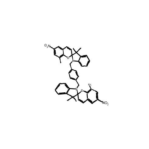 CCc1cc([N+](=O)[O-])cc2c1OC1(C=C2)N(Cc2ccc(CN3c4ccccc4C(C)(C)C34C=Cc3cc([N+](=O)[O-])cc(C)c3O4)cc2)c2ccccc2C1(C)C